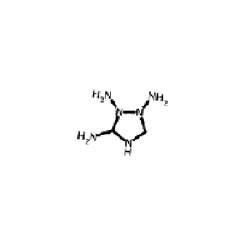 NC1NCN(N)N1N